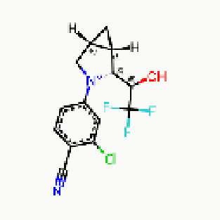 N#Cc1ccc(N2C[C@@H]3C[C@@H]3[C@@H]2[C@@H](O)C(F)(F)F)cc1Cl